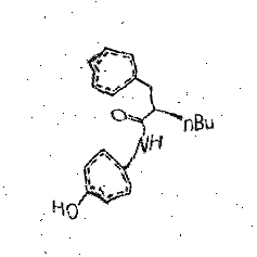 CCCC[C@H](Cc1ccccc1)C(=O)Nc1ccc(O)cc1